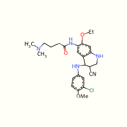 CCOc1cc2c(cc1NC(=O)CCCN(C)C)C(Nc1ccc(OC)c(Cl)c1)C(C#N)CN2